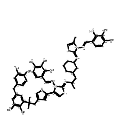 Cc1cs/c(=N\C2CCCC(CC(C)/N=c3\scc(-c4cc(CC(C)(C)c5cc(Cc6ccc(O)c(O)c6)cc(C(C)(C)C)c5O)cs4)n3/N=C/c3ccc(O)c(O)c3O)C2)n1/N=C/c1ccc(O)c(O)c1O